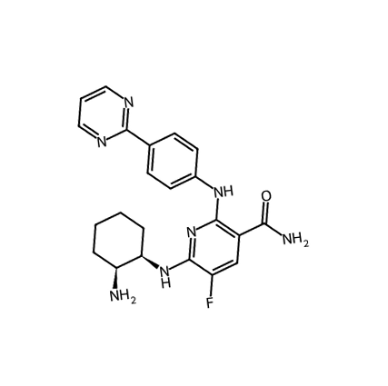 NC(=O)c1cc(F)c(N[C@@H]2CCCC[C@@H]2N)nc1Nc1ccc(-c2ncccn2)cc1